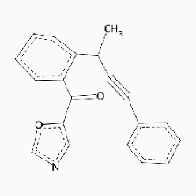 CC(C#Cc1ccccc1)c1ccccc1C(=O)c1cnco1